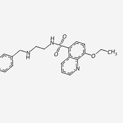 CCOc1ccc(S(=O)(=O)NCCNCc2ccccc2)c2cccnc12